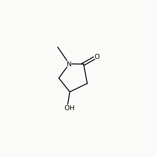 CN1CC(O)CC1=O